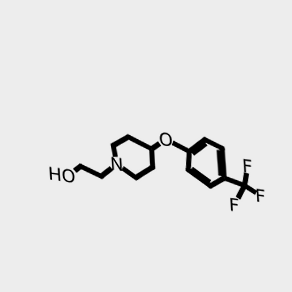 OCCN1CCC(Oc2ccc(C(F)(F)F)cc2)CC1